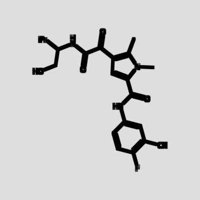 Cc1c(C(=O)C(=O)NC(CO)C(C)C)cc(C(=O)Nc2ccc(F)c(C#N)c2)n1C